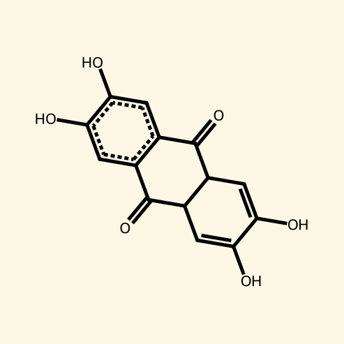 O=C1c2cc(O)c(O)cc2C(=O)C2C=C(O)C(O)=CC12